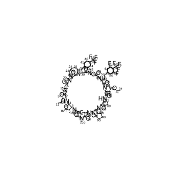 CCC[C@H]1C(=O)N[C@@H]([C@@H](C)CC)C(=O)N(C)CC(=O)N(C)[C@H]2C/C=C\CCN(C2=O)[C@@H](Cc2ccc(C(F)(F)F)cc2)C(=O)N(C)CC(=O)N[C@@H](CCc2cc(F)c(C(F)(F)F)c(F)c2)C(=O)N2C[C@H](OCC)C[C@H]2C(=O)NC2(CCC2)C(=O)N(C)[C@@H](C2CCCC2)C(=O)N(C)[C@H](C(=O)N(C)C)CC(=O)N1C